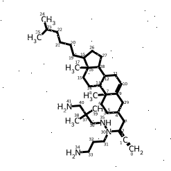 C=C=C(CC1CCC2(C)C(=CCC3C2CCC2(C)C(CCCCC(C)C)CCC32)C1)N(CCCN)NCC(C)(C)CN